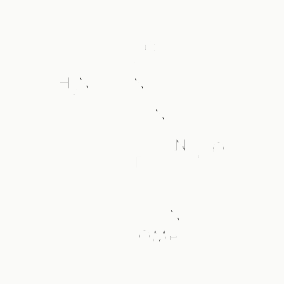 COc1cccc(F)c1-c1nccc2c1CN(c1cc(C)cc(N3CC(N)CC3=O)n1)C2=O